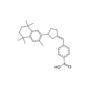 Cc1cc2c(cc1C1CCC(=Cc3ccc(C(=O)O)cc3)C1)C(C)(C)CCC2(C)C